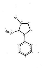 CCOC(=O)C1C(c2ccccc2)CCN1C(C)=O